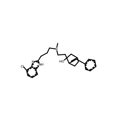 CN(CCCc1nc2c(Cl)cccc2[nH]1)CCC1(O)CC2CCC1C=C2c1ccccc1